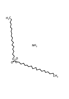 CCCCCCCCCCCCCCCCCCOS(=O)(=O)OCCCCCCCCCCCCCCCCCC.N